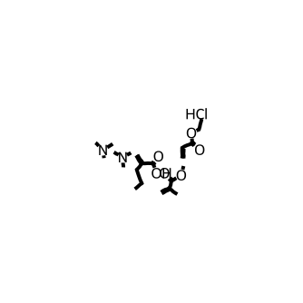 C=C(C)C(=O)OC.C=C(CCC)C(=O)O.C=CC(=O)OCC.CN(C)C.CN(C)C.Cl